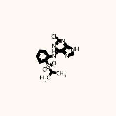 CC(C)S(=O)(=O)c1ccccc1Nc1nc(Cl)nc2[nH]cnc12